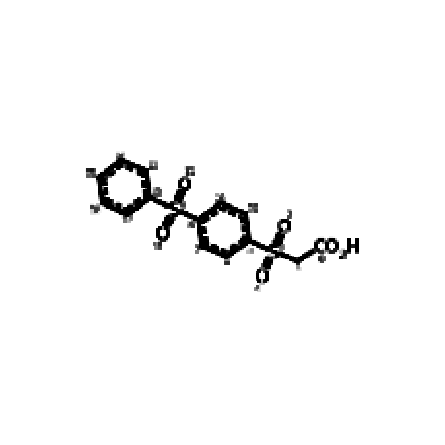 O=C(O)CS(=O)(=O)c1ccc(S(=O)(=O)c2ccccc2)cc1